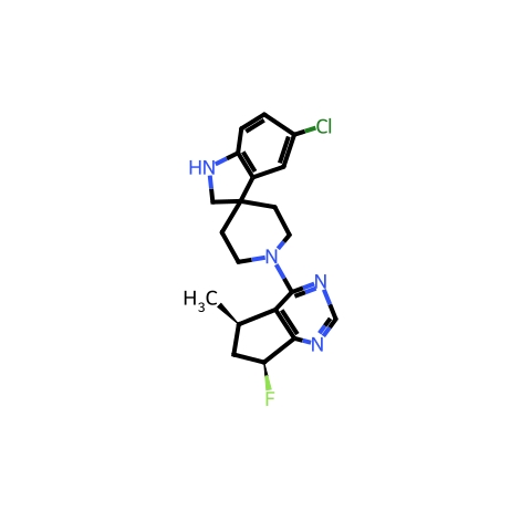 C[C@@H]1C[C@H](F)c2ncnc(N3CCC4(CC3)CNc3ccc(Cl)cc34)c21